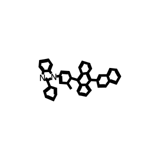 CC1C=C(n2c(-c3ccccc3)nc3ccccc32)C=CC1c1c2ccccc2c(-c2ccc3ccccc3c2)c2ccccc12